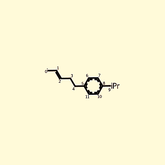 [CH2]/C=C/CCc1ccc(C(C)C)cc1